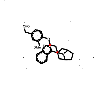 COc1cc(CC=O)ccc1OCCCN1C2CCC1CC(c1nsc3ccccc13)C2